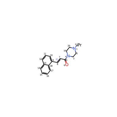 CC(C)N1CCN(C(=O)/C=C/c2cccc3ccccc23)CC1